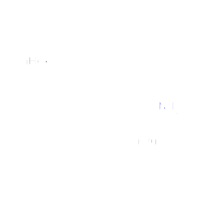 CCCCCCCCCCC(CN)CCCC